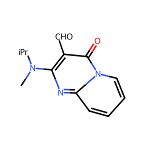 CC(C)N(C)c1nc2ccccn2c(=O)c1C=O